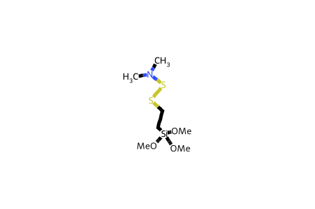 CO[Si](CCSSN(C)C)(OC)OC